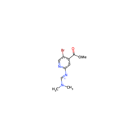 COC(=O)c1cc(/N=C/N(C)C)ncc1Br